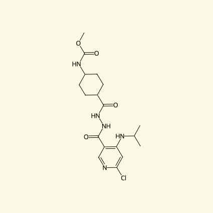 COC(=O)NC1CCC(C(=O)NNC(=O)c2cnc(Cl)cc2NC(C)C)CC1